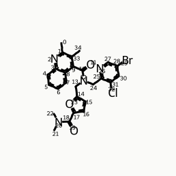 Cc1nc2ccccc2c(C(=O)N(Cc2ccc(C(=O)N(C)C)o2)Cc2ncc(Br)cc2Cl)c1C